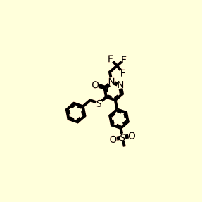 CS(=O)(=O)c1ccc(-c2cnn(CC(F)(F)F)c(=O)c2SCc2ccccc2)cc1